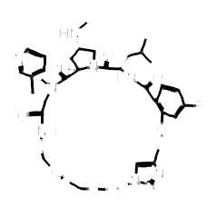 CN[C@H]1C[C@@H]2C(=O)N(C)[C@@H](Cc3cccnc3)C(=O)NCCCCCCCCn3cc(nn3)COc3cc(F)ccc3C(=O)N[C@H](CC(C)C)C(=O)N2C1